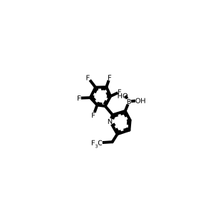 OB(O)c1ccc(CC(F)(F)F)nc1-c1c(F)c(F)c(F)c(F)c1F